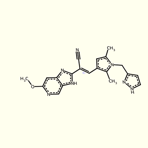 COc1cc2nc(/C(C#N)=C/c3cc(C)n(Cc4cc[nH]n4)c3C)[nH]c2cn1